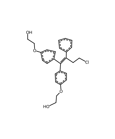 OCCOc1ccc(C(=C(CCCl)c2ccccc2)c2ccc(OCCO)cc2)cc1